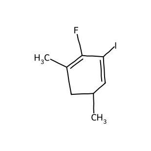 CC1=C(F)C(I)=CC(C)C1